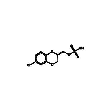 O=S(=O)(O)[N]C[C@H]1COc2cc(Cl)ccc2O1